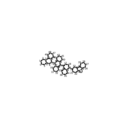 c1ccc2c(c1)cc(-c1c3ccccc3c(-c3ccc(-c4ccc5oc6ccccc6c5c4)c4ccccc34)c3ccccc13)c1ccccc12